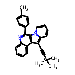 Cc1ccc(-c2nc3ccccc3c3c(C#C[Si](C)(C)C)c4ccccn4c23)cc1